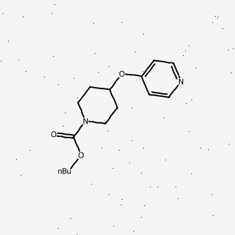 CCCCOC(=O)N1CCC(Oc2ccncc2)CC1